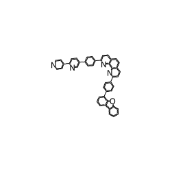 c1ccc2c(c1)oc1c(-c3ccc(-c4ccc5ccc6ccc(-c7ccc(-c8ccc(-c9ccncc9)nc8)cc7)nc6c5n4)cc3)cccc12